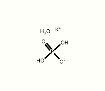 O.O=P([O-])(O)O.[K+]